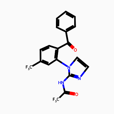 O=C(c1ccccc1)c1ccc(C(F)(F)F)cc1-n1ccnc1NC(=O)C(F)(F)F